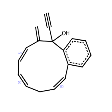 C#CC1(O)C(=C)/C=C\C=C/C/C=C\c2ccccc21